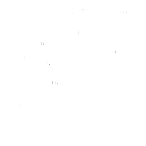 CSc1nc(Sc2nnc(-c3cc(C)cc(C)c3)[nH]2)cc(Sc2nnc(-c3cc(C)cc(C(F)(F)F)c3)[nH]2)n1